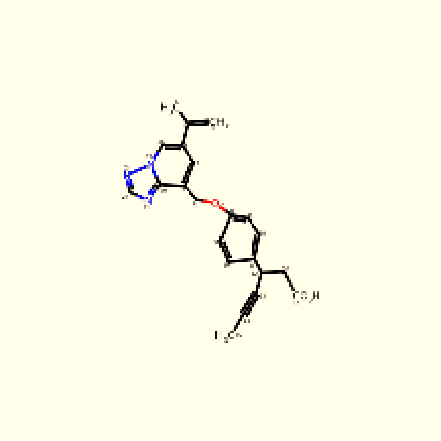 C=C(C)c1cc(COc2ccc(C(C#CC)CC(=O)O)cc2)c2ncnn2c1